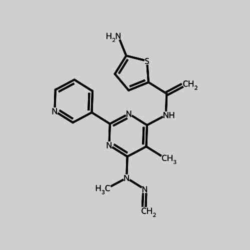 C=NN(C)c1nc(-c2cccnc2)nc(NC(=C)c2ccc(N)s2)c1C